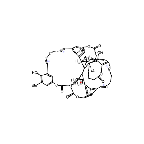 CCC12CCC(=O)Oc3cc(c(O)c(C(C)(C)C)c3)/C=N/CC/N=C/c3cc4cc(c3O)C(C)(C)C35C1C(C)(C)c1cc(cc(c1O)/C=N/CC/N=C/c1cc(cc(c1O)C3(C)C)OC(=O)CCC5(CC)CCC(=O)O4)OC(=O)CC2